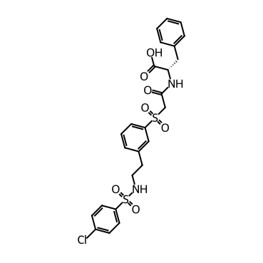 O=C(CS(=O)(=O)c1cccc(CCNS(=O)(=O)c2ccc(Cl)cc2)c1)N[C@@H](Cc1ccccc1)C(=O)O